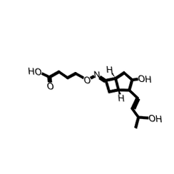 CC(O)C=CC1C(O)C[C@@H]2C(=NOCCCC(=O)O)C[C@@H]12